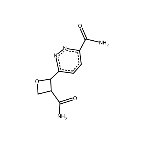 NC(=O)c1ccc(C2OCC2C(N)=O)nn1